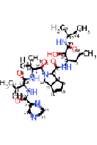 CCCC(NC(=O)C1C2CC=CC2CN1C(=O)[C@@H](NC(=O)[C@@H](NC(=O)c1cnccn1)C(C)C)C(C)C)C(O)C(=O)N[C@@H](C)CC